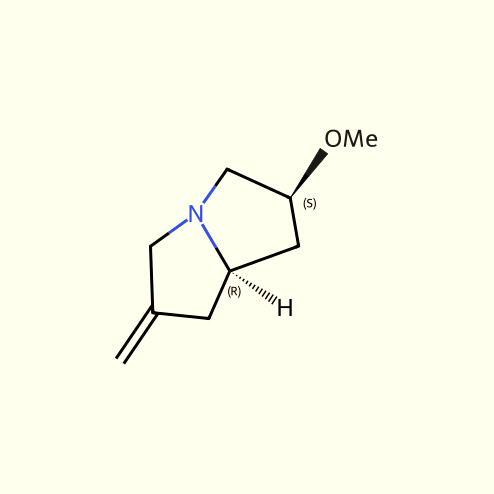 C=C1C[C@@H]2C[C@H](OC)CN2C1